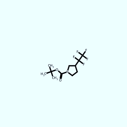 CC(C)(C)OC(=O)N1CCC(C(F)(F)C(F)(F)F)C1